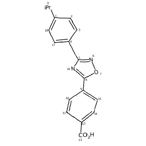 CC(C)c1ccc(-c2noc(-c3ccc(C(=O)O)cc3)n2)cc1